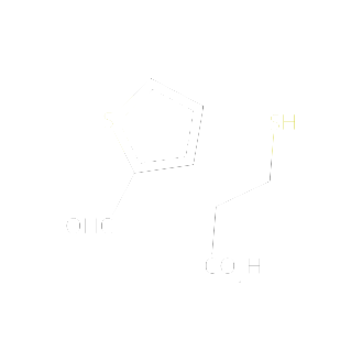 O=C(O)CCS.O=Cc1cccs1